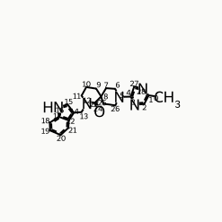 Cc1cnc(N2CCC3(CCCN(Cc4c[nH]c5ccccc45)C3=O)CC2)cn1